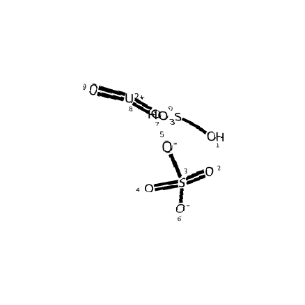 O=S(=O)(O)O.O=S(=O)([O-])[O-].[O]=[U+2]=[O]